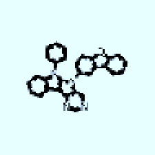 c1ccc(-n2c3ccccc3c3c4ncncc4n(-c4ccc5oc6ccccc6c5c4)c32)cc1